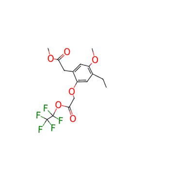 CCc1cc(OCC(=O)OC(F)(F)C(F)(F)F)c(CC(=O)OC)cc1OC